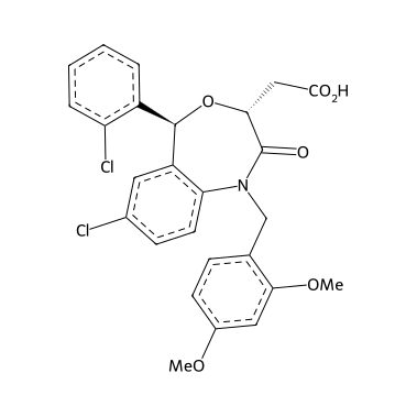 COc1ccc(CN2C(=O)[C@@H](CC(=O)O)O[C@H](c3ccccc3Cl)c3cc(Cl)ccc32)c(OC)c1